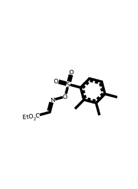 CCOC(=O)C=NOS(=O)(=O)c1ccc(C)c(C)c1C